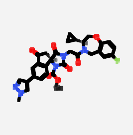 Cn1cc(-c2ccc3c(c2)C(=O)C[C@@]32C(=O)N(CC(=O)N3Cc4cc(F)ccc4OC[C@H]3C3CC3)C(=O)N2C(=O)OC(C)(C)C)cn1